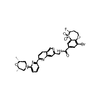 C[C@@H]1CN(c2cccc(-c3ccc4cnc(CNC(=O)c5cc(Br)c6c(c5)S(=O)(=O)[C@@H](F)CCO6)cc4n3)n2)C[C@H](C)O1